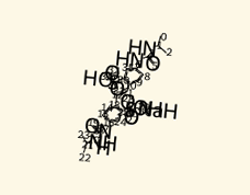 CC(C)NC(=O)Nc1ccc(CCc2ccc(NC(=O)NC(C)C)cc2S(=O)(=O)O)c(S(=O)(=O)O)c1.[NaH]